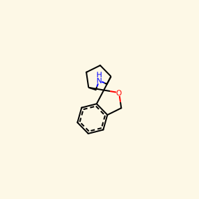 c1ccc2c(c1)COC21C2CCC1CNC2